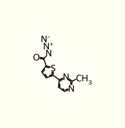 Cc1nccc(-c2ccc(C(=O)N=[N+]=[N-])s2)n1